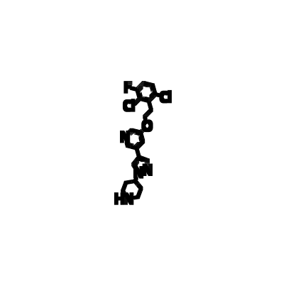 Fc1ccc(Cl)c(CCOc2cncc(-c3cnn(C4CCNCC4)c3)c2)c1Cl